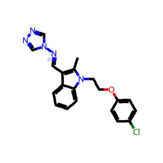 Cc1c(/C=N/n2cnnc2)c2ccccc2n1CCOc1ccc(Cl)cc1